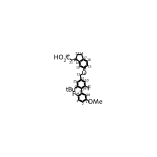 COc1ccc(F)c(-c2c(F)cc(COc3ccc4c(c3)[C@@H](CC(=O)O)CC4)cc2C(C)(C)C)c1